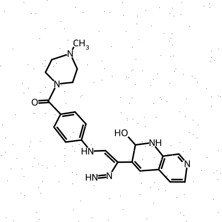 CN1CCN(C(=O)c2ccc(N/C=C(\N=N)C3=Cc4ccncc4NC3O)cc2)CC1